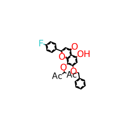 CC(=O)C(Oc1c(OCc2ccccc2)cc(O)c2c(=O)cc(-c3ccc(F)cc3)oc12)C(C)=O